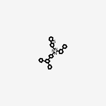 c1ccc(-c2cc(-c3ccccc3)cc(-c3ccc(-c4nc(-c5cccc(-c6ccccc6)c5)nc(-c5ccc6c(c5)sc5ccccc56)n4)cc3)c2)cc1